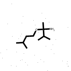 CC(C)CCOC(C)(N)C(C)C